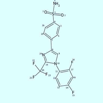 NS(=O)(=O)c1ccc(-c2cn(-c3ccc(F)cc3F)c(C(F)(F)F)n2)cc1